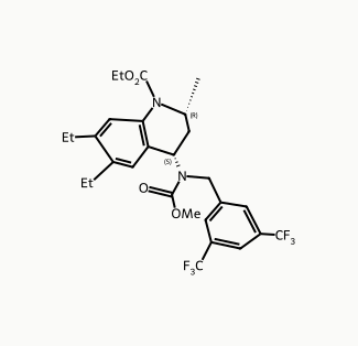 CCOC(=O)N1c2cc(CC)c(CC)cc2[C@@H](N(Cc2cc(C(F)(F)F)cc(C(F)(F)F)c2)C(=O)OC)C[C@H]1C